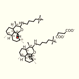 C[C@@H]1CC[C@H]2[C@@H](C)C(NCCCC[N+](C)(C)C)O[C@@H]3O[C@]4(C)CC[C@@H]1[C@]32OO4.C[C@@H]1CC[C@H]2[C@@H](C)C(NCCCC[N+](C)(C)C)O[C@@H]3O[C@]4(C)CC[C@@H]1[C@]32OO4.O=C([O-])CCC(=O)[O-]